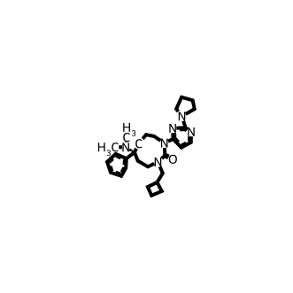 CN(C)[C@@]1(c2ccccc2)CCCN(c2ccnc(N3CCCC3)n2)C(=O)N(CC2CCC2)CC1